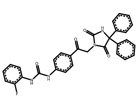 O=C(Nc1ccc(C(=O)CN2C(=O)NC(c3ccccc3)(c3ccccc3)C2=O)cc1)Nc1ccccc1F